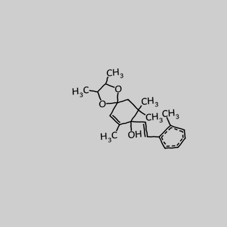 CC1=CC2(CC(C)(C)C1(O)C=Cc1ccccc1C)OC(C)C(C)O2